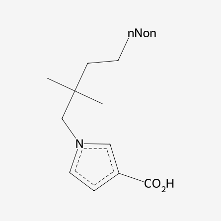 CCCCCCCCCCCC(C)(C)Cn1ccc(C(=O)O)c1